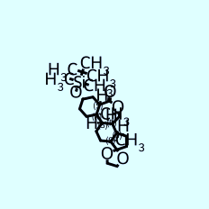 CC(C)(C)[Si](C)(C)OC1CC[C@@]2(C)[C@H](C1)C(=O)OC[C@@H]1[C@@H]2CC[C@@]2(C)[C@H]1CCC21OCCO1